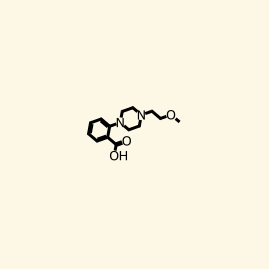 COCCN1CCN(c2ccccc2C(=O)O)CC1